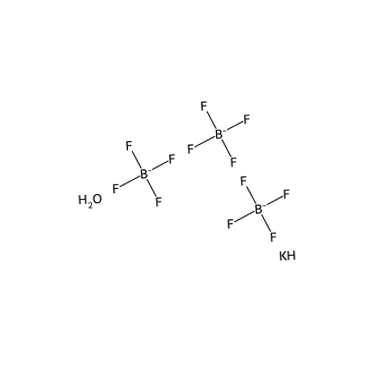 F[B-](F)(F)F.F[B-](F)(F)F.F[B-](F)(F)F.O.[KH]